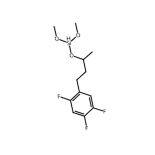 CO[SiH](OC)OC(C)CCc1cc(F)c(F)cc1F